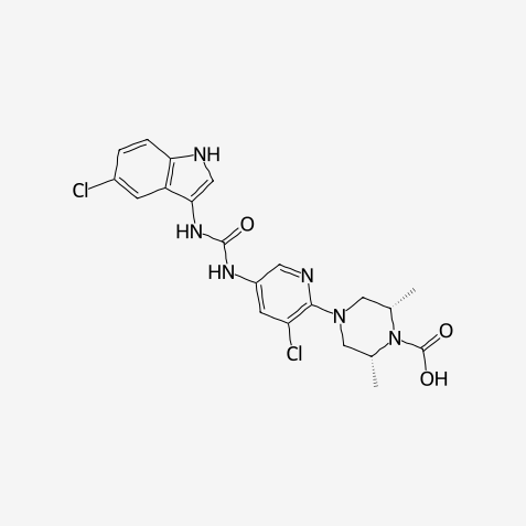 C[C@@H]1CN(c2ncc(NC(=O)Nc3c[nH]c4ccc(Cl)cc34)cc2Cl)C[C@H](C)N1C(=O)O